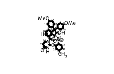 COc1ccc(C(c2ccccc2)(c2ccc(OC)cc2)C(O)[C@@]2(CS(=O)(=O)c3ccc(C)cc3)O[C@@H](n3ccc(=O)[nH]c3=O)[C@H](O)[C@@H]2O)cc1